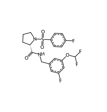 O=C(NCc1cc(F)cc(OC(F)F)c1)[C@@H]1CCCN1S(=O)(=O)c1ccc(F)cc1